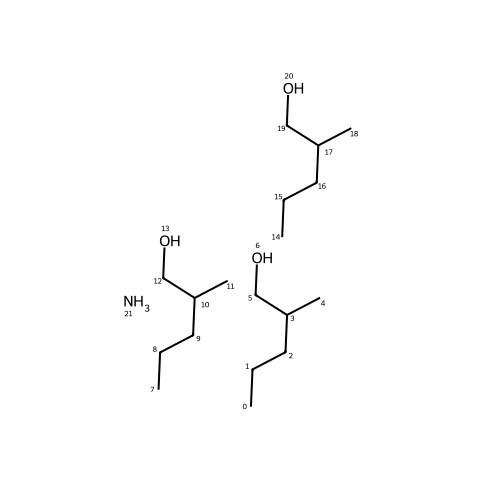 CCCC(C)CO.CCCC(C)CO.CCCC(C)CO.N